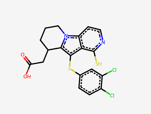 O=C(O)CC1CCCn2c1c(Sc1ccc(Cl)c(Cl)c1)c1c(S)nccc12